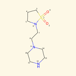 O=S1(=O)CCCN1CCN1CCNCC1